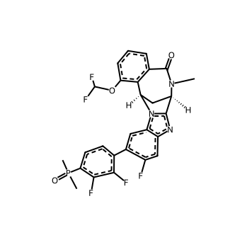 CN1C(=O)c2cccc(OC(F)F)c2[C@H]2C[C@@H]1c1nc3cc(F)c(-c4ccc(P(C)(C)=O)c(F)c4F)cc3n12